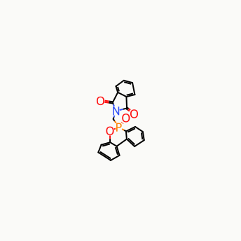 O=C1c2ccccc2C(=O)N1CP1(=O)Oc2ccccc2-c2ccccc21